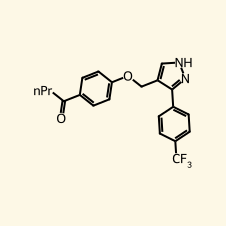 CCCC(=O)c1ccc(OCc2c[nH]nc2-c2ccc(C(F)(F)F)cc2)cc1